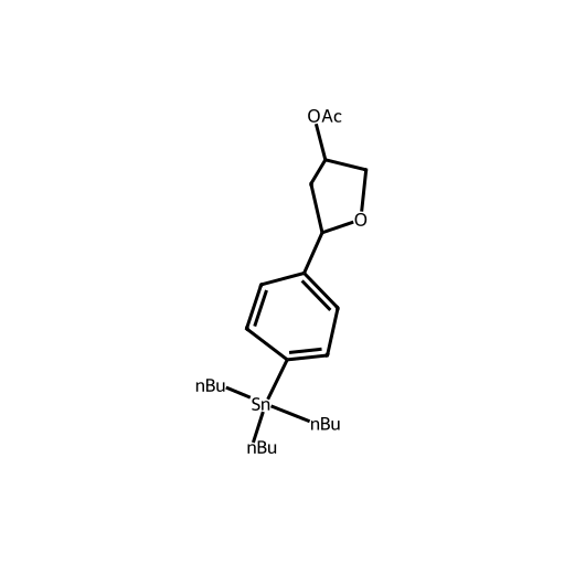 CCC[CH2][Sn]([CH2]CCC)([CH2]CCC)[c]1ccc(C2CC(OC(C)=O)CO2)cc1